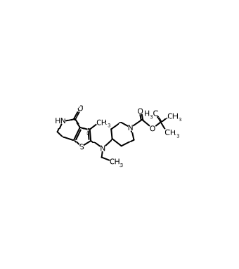 CCN(c1sc2c(c1C)C(=O)NCC2)C1CCN(C(=O)OC(C)(C)C)CC1